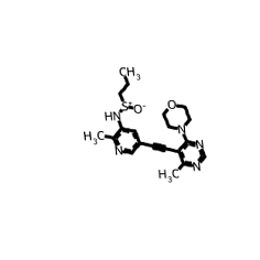 CCC[S+]([O-])Nc1cc(C#Cc2c(C)ncnc2N2CCOCC2)cnc1C